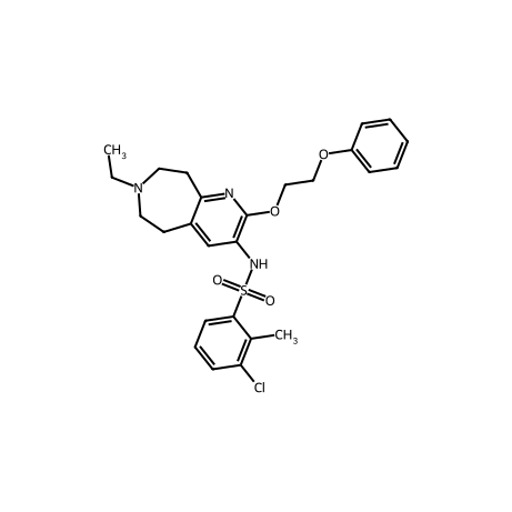 CCN1CCc2cc(NS(=O)(=O)c3cccc(Cl)c3C)c(OCCOc3ccccc3)nc2CC1